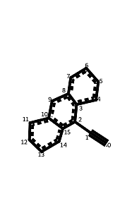 [C]#Cc1c2ccccc2cc2ccccc12